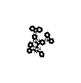 c1ccc(-c2nc(-c3ccccc3)nc(-c3c4ccc(-n5c6ccccc6c6ccccc65)cc4n4c5cc(-n6c7ccccc7c7ccccc76)ccc5n(-c5ccccc5)c34)n2)cc1